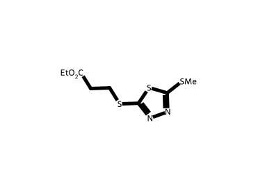 CCOC(=O)CCSc1nnc(SC)s1